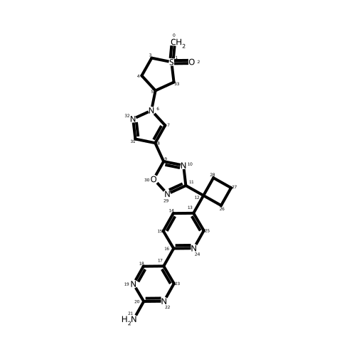 C=S1(=O)CCC(n2cc(-c3nc(C4(c5ccc(-c6cnc(N)nc6)nc5)CCC4)no3)cn2)C1